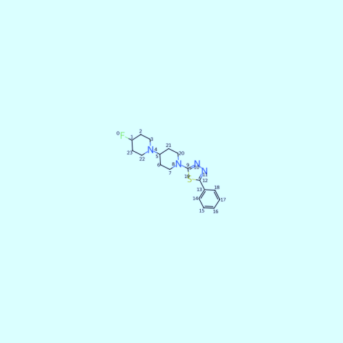 FC1CCN(C2CCN(c3nnc(-c4ccccc4)s3)CC2)CC1